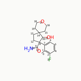 Cc1c(F)cccc1C1(C(N)=O)CCC2(CCOCC2)C1O